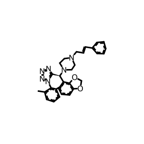 Cc1cccc(C)c1-n1nnnc1[C@H](c1cccc2c1OCO2)N1CCN(C/C=C/c2ccccc2)CC1